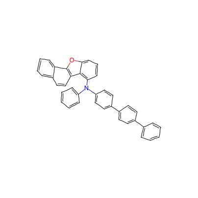 c1ccc(-c2ccc(-c3ccc(N(c4ccccc4)c4cccc5oc6c7ccccc7ccc6c45)cc3)cc2)cc1